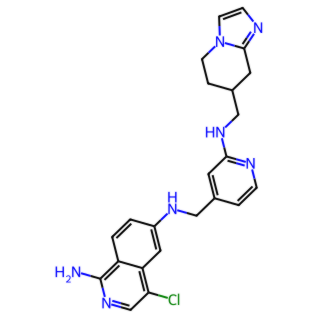 Nc1ncc(Cl)c2cc(NCc3ccnc(NCC4CCn5ccnc5C4)c3)ccc12